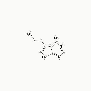 NCCc1n[nH]c2ncnc(N)c12